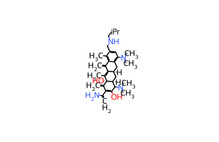 C=C(N)C1=C(O)C(N(C)C)[C@@H]2C[C@@H]3Cc4c(N(C)C)cc(CNCC(C)C)c(C)c4C(=C)C3=C(C)[C@]2(O)C1=C